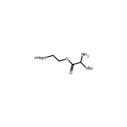 CCCCCCCCCOC(=O)C(N)CCCC